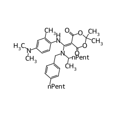 CCCCCc1ccc(CN(C(Nc2ccc(N(C)C)cc2C)=C2C(=O)OC(C)(C)OC2=O)C(C)CCCCC)cc1